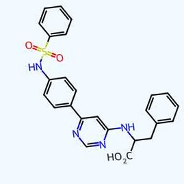 O=C(O)C(Cc1ccccc1)Nc1cc(-c2ccc(NS(=O)(=O)c3ccccc3)cc2)ncn1